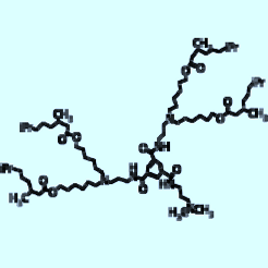 CC(C)CCCC(C)CC(=O)OCCCCCCN(CCCCCCOC(=O)CC(C)CCCC(C)C)CCCNC(=O)c1cc(C(=O)NCCCN(C)C)cc(C(=O)NCCCN(CCCCCCOC(=O)CC(C)CCCC(C)C)CCCCCCOC(=O)CC(C)CCCC(C)C)c1